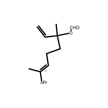 C=CC(C)(CC/C=C(\C)CCC)OC=O